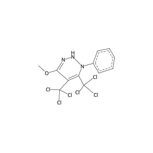 COC1=NNN(c2ccccc2)C(C(Cl)(Cl)Cl)=C1C(Cl)(Cl)Cl